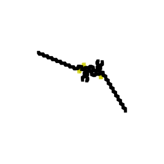 CCCCCCCCCCCCCCCCCCc1cc2c(s1)-c1ccc3c4c(ccc3c1C2(CCCC)CCCC)-c1sc2cc(CCCCCCCCCCCCCCCCCC)sc2c1C4(CCCC)CCCC